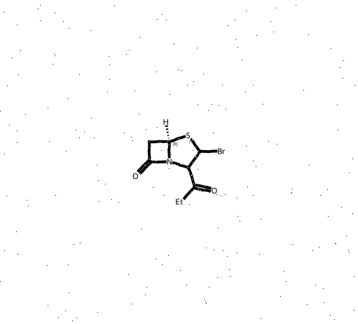 CCC(=O)C1C(Br)S[C@@H]2CC(=O)N12